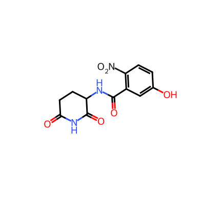 O=C1CCC(NC(=O)c2cc(O)ccc2[N+](=O)[O-])C(=O)N1